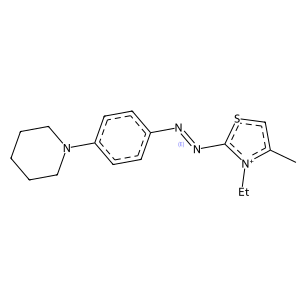 CC[n+]1c(C)csc1/N=N/c1ccc(N2CCCCC2)cc1